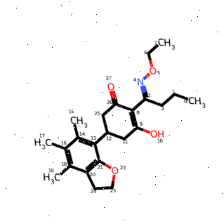 CCCC(=NOCC)C1=C(O)CC(c2c(C)c(C)c(C)c3c2OCC3)CC1=O